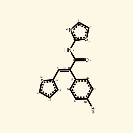 O=C(Nc1nccs1)/C(=C/c1cccs1)c1ccc(Br)cc1